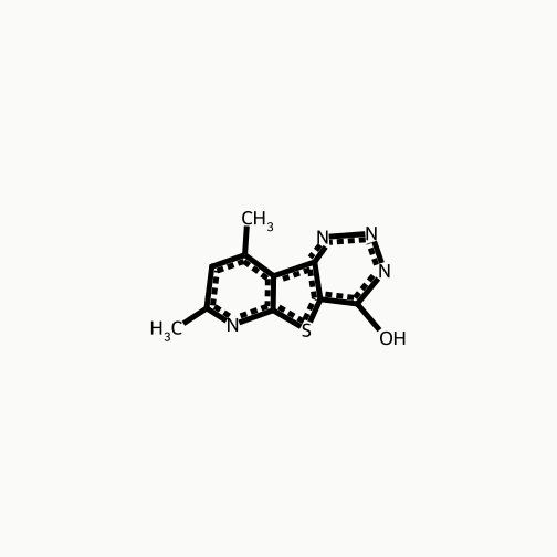 Cc1cc(C)c2c(n1)sc1c(O)nnnc12